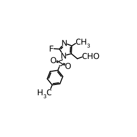 Cc1ccc(S(=O)(=O)n2c(F)nc(C)c2CC=O)cc1